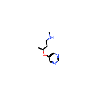 CNCCC(C)Oc1cncnc1